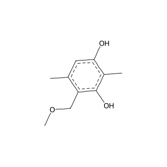 COCc1c(C)cc(O)c(C)c1O